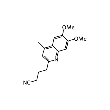 COc1cc2nc(CCCC#N)cc(C)c2cc1OC